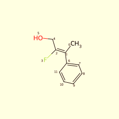 CC(=C(F)CO)c1ccccc1